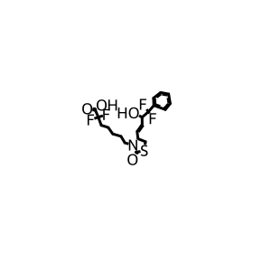 O=C1SCC(C=CC(O)C(F)(F)c2ccccc2)N1CCCCCC(F)(F)C(=O)O